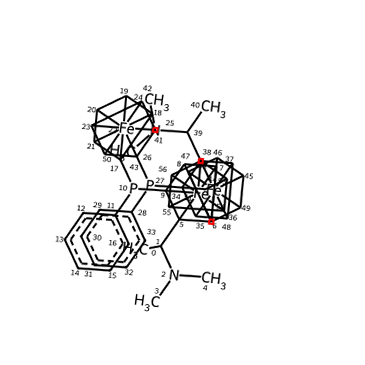 CC(N(C)C)[C]12[CH]3[CH]4[CH]5[C]1(P(c1ccccc1)[C]16[CH]7[CH]8[CH]9[CH]1[Fe]89761%10%11%12[CH]6[CH]1[CH]%10[C]%11(P(c1ccccc1)[C]17[CH]8[CH]9[CH]%10[C]1(C(C)N(C)C)[Fe]9%10871%11%13%14[CH]7[CH]1[CH]%11[CH]%13[CH]7%14)[CH]6%12)[Fe]43521678[CH]2[CH]1[CH]6[CH]7[CH]28